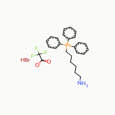 Br.NCCCCCC[P+](c1ccccc1)(c1ccccc1)c1ccccc1.O=C([O-])C(F)(F)F